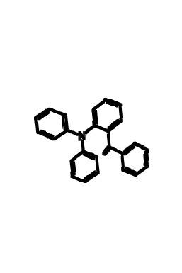 C=C(c1ccccc1)c1ccccc1N(c1ccccc1)c1ccccc1